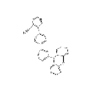 N#Cc1ccncc1-c1ccc(-c2cccc(N3c4ccccc4Oc4ccccc43)c2)cc1